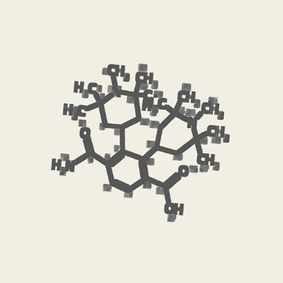 CN1C(C)(C)CC(c2c(C(N)=O)ccc(C(=O)O)c2C2CC(C)(C)N(C)C(C)(C)C2)CC1(C)C